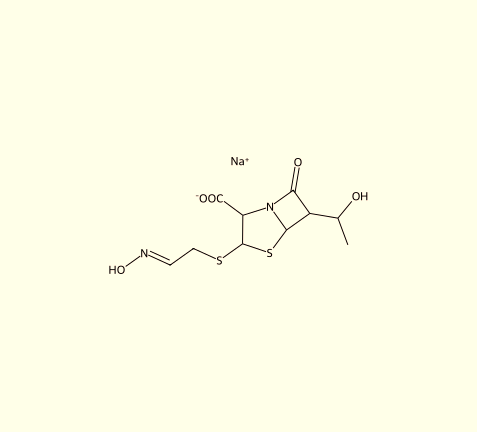 CC(O)C1C(=O)N2C1SC(SCC=NO)C2C(=O)[O-].[Na+]